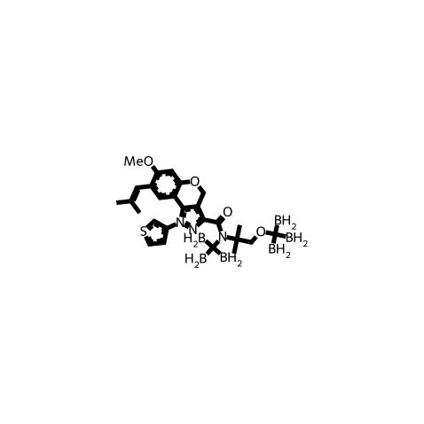 BC(B)(B)OCC(C)(C)N(C(=O)c1nn(-c2ccsc2)c2c1COc1cc(OC)c(C=C(C)C)cc1-2)C(B)(B)B